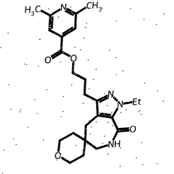 CCn1nc(CCCOC(=O)c2cc(C)nc(C)c2)c2c1C(=O)NCC1(CCOCC1)C2